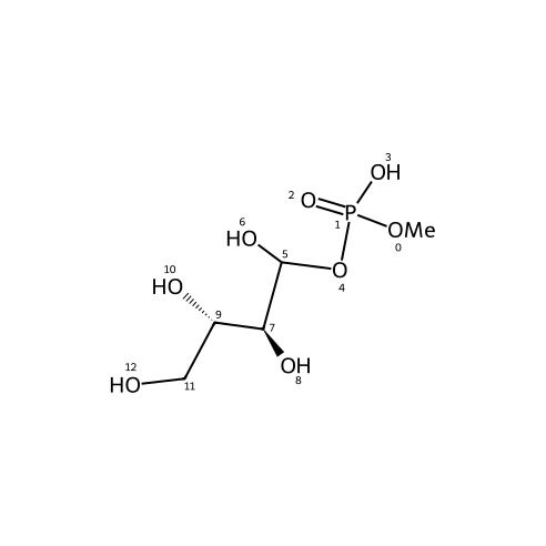 COP(=O)(O)OC(O)[C@@H](O)[C@@H](O)CO